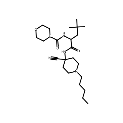 CCCCCN1CCC(C#N)(NC(=O)C(CC(C)(C)C)NC(=O)N2CCOCC2)CC1